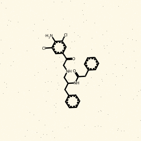 Nc1c(Cl)cc(C(=O)CNCC(Cc2ccccc2)NC(=O)Cc2ccccc2)cc1Cl